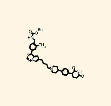 Cc1cc(-c2ncnn3cc(CCCCN4CCC(c5ccc(C6CCC(=O)NC6=O)cc5)CC4)cc23)ccc1CNC(=O)OC(C)(C)C